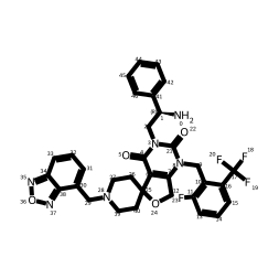 N[C@@H](Cn1c(=O)c2c(n(Cc3c(F)cccc3C(F)(F)F)c1=O)COC21CCN(Cc2cccc3nonc23)CC1)c1ccccc1